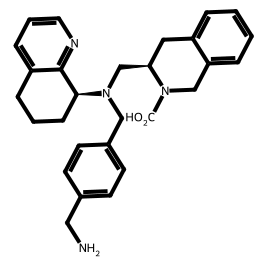 NCc1ccc(CN(C[C@H]2Cc3ccccc3CN2C(=O)O)[C@H]2CCCc3cccnc32)cc1